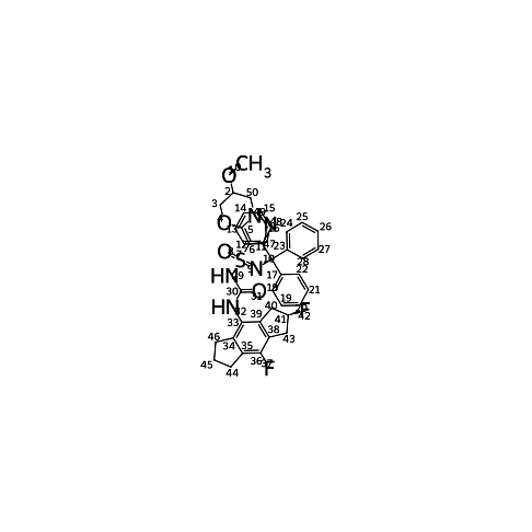 COC1COc2c(S(=O)(=NC(c3ccccc3)(c3ccccc3)c3ccccc3)NC(=O)Nc3c4c(c(F)c5c3C[C@@H](F)C5)CCC4)cnn2C1